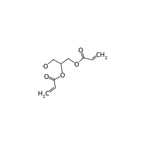 C=CC(=O)OCC(C[O])OC(=O)C=C